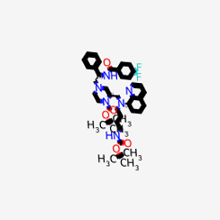 CC(C)(C)OC(=O)NCCCCN(C[C@@H]1CN(C[C@@H](NC(=O)C2CCC(F)(F)CC2)c2ccccc2)CCN1C(=O)OC(C)(C)C)[C@H]1CCCc2cccnc21